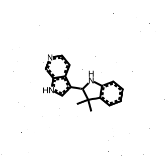 CC1(C)c2ccccc2NC1c1c[nH]c2cnccc12